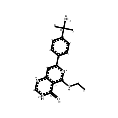 CCNc1nc(-c2ccc(C(C)(C)N)cc2)cc2nc[nH]c(=O)c12